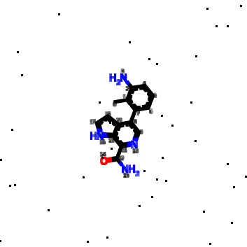 Cc1c(N)cccc1-c1cnc(C(N)=O)c2[nH]ccc12